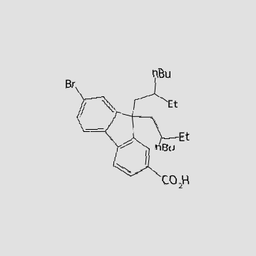 CCCCC(CC)CC1(CC(CC)CCCC)c2cc(Br)ccc2-c2ccc(C(=O)O)cc21